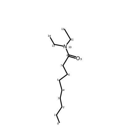 CCCCCCCCC(=O)N(CC)CC